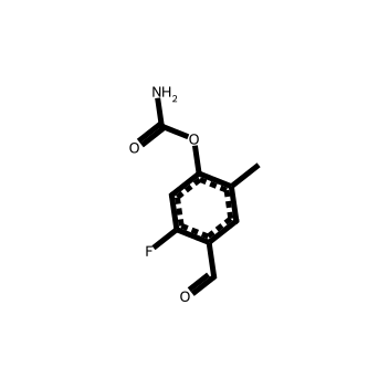 Cc1cc(C=O)c(F)cc1OC(N)=O